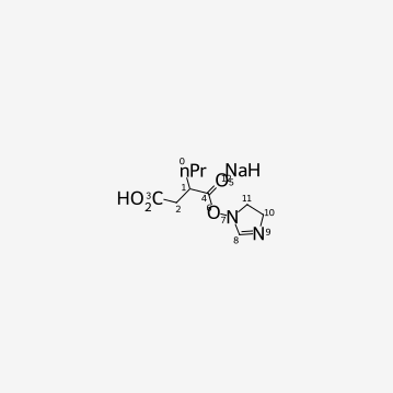 CCCC(CC(=O)O)C(=O)ON1C=NCC1.[NaH]